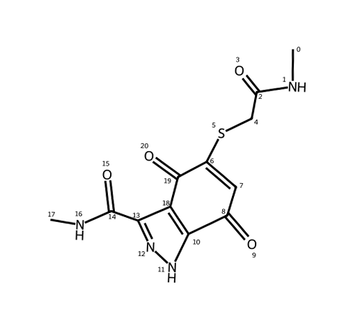 CNC(=O)CSC1=CC(=O)c2[nH]nc(C(=O)NC)c2C1=O